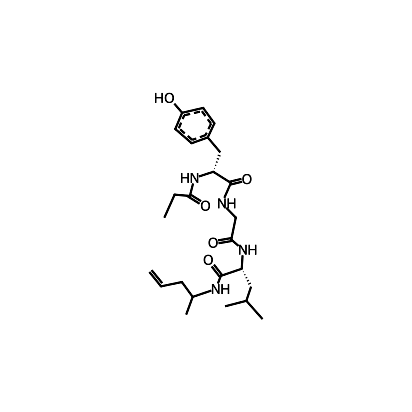 C=CCC(C)NC(=O)[C@@H](CC(C)C)NC(=O)CNC(=O)[C@@H](Cc1ccc(O)cc1)NC(=O)CC